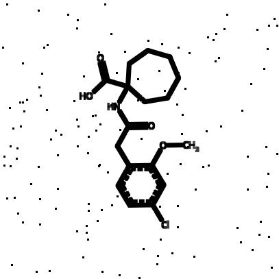 COc1cc(Cl)ccc1CC(=O)NC1(C(=O)O)CCCCCC1